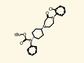 CC(C)(C)OC(=O)N(c1ccccc1)[C@H]1CC[C@H](N2CCN(c3ccccc3Cl)C(=O)C2)CC1